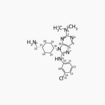 CN(C)c1ncc2nc(Nc3cccc(Cl)c3)n([C@H]3CC[C@@H](CN)CC3)c2n1